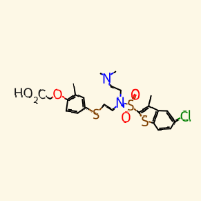 Cc1cc(SCCN(CCN(C)C)S(=O)(=O)c2sc3ccc(Cl)cc3c2C)ccc1OCC(=O)O